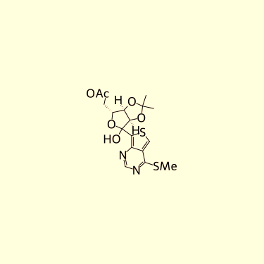 CSc1ncnc2c(C3(O)O[C@H](COC(C)=O)[C@H]4OC(C)(C)O[C@H]43)scc12